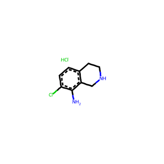 Cl.Nc1c(Cl)ccc2c1CNCC2